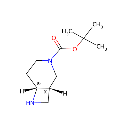 CC(C)(C)OC(=O)N1CC[C@H]2NC[C@H]2C1